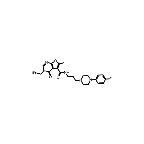 Cc1oc2ncn(CC(C)C)c(=O)c2c1C(=O)NCCCN1CCN(c2ccc(F)cc2)CC1